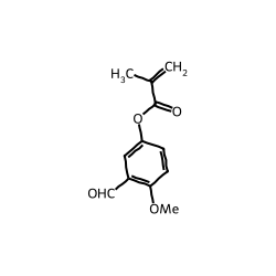 C=C(C)C(=O)Oc1ccc(OC)c(C=O)c1